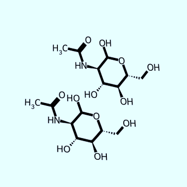 CC(=O)N[C@H]1C(O)O[C@H](CO)[C@@H](O)[C@@H]1O.CC(=O)N[C@H]1C(O)O[C@H](CO)[C@@H](O)[C@@H]1O